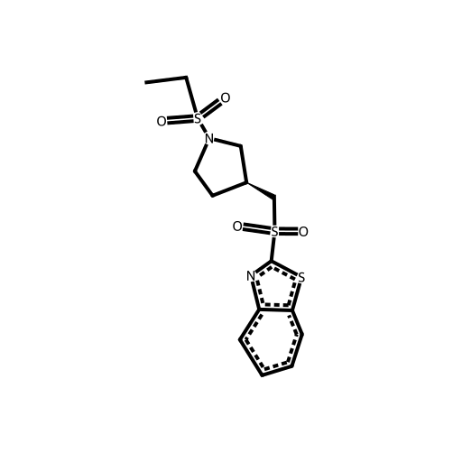 CCS(=O)(=O)N1CC[C@H](CS(=O)(=O)c2nc3ccccc3s2)C1